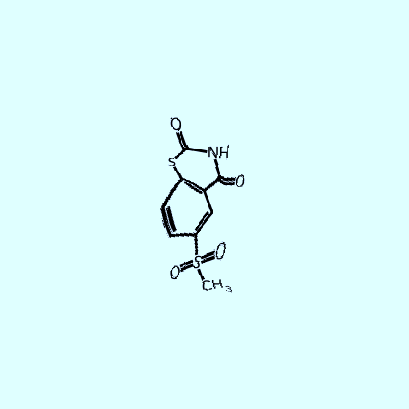 CS(=O)(=O)c1ccc2sc(=O)[nH]c(=O)c2c1